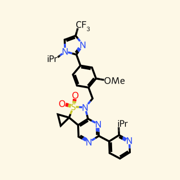 COc1cc(-c2nc(C(F)(F)F)cn2C(C)C)ccc1CN1c2nc(-c3cccnc3C(C)C)ncc2C2(CC2)S1(=O)=O